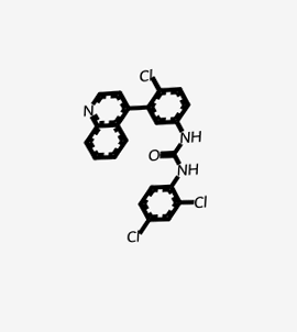 O=C(Nc1ccc(Cl)c(-c2ccnc3ccccc23)c1)Nc1ccc(Cl)cc1Cl